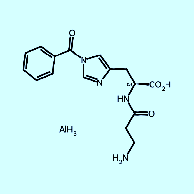 NCCC(=O)N[C@@H](Cc1cn(C(=O)c2ccccc2)cn1)C(=O)O.[AlH3]